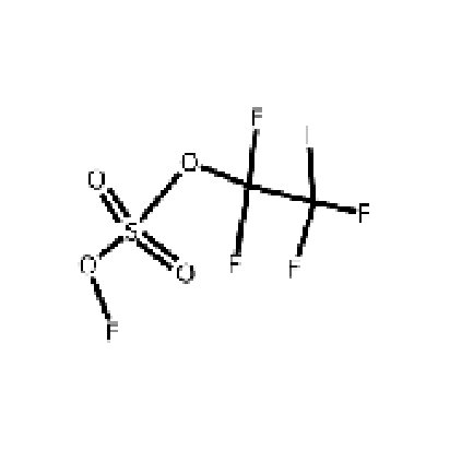 O=S(=O)(OF)OC(F)(F)C(F)(F)I